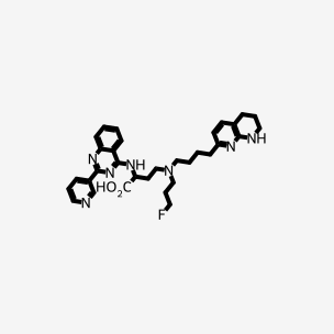 O=C(O)C(CCN(CCCF)CCCCc1ccc2c(n1)NCCC2)Nc1nc(-c2cccnc2)nc2ccccc12